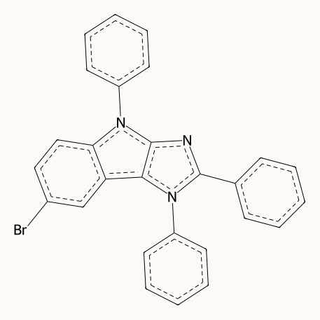 Brc1ccc2c(c1)c1c(nc(-c3ccccc3)n1-c1ccccc1)n2-c1ccccc1